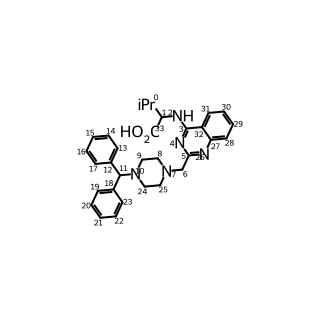 CC(C)C(Nc1nc(CN2CCN(C(c3ccccc3)c3ccccc3)CC2)nc2ccccc12)C(=O)O